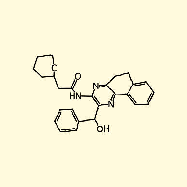 O=C(CC1CCCCC1)Nc1nc2c(nc1C(O)c1ccccc1)-c1ccccc1CC2